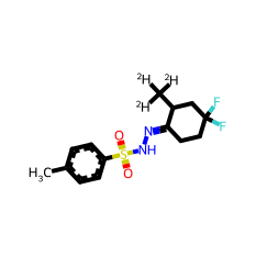 [2H]C([2H])([2H])C1CC(F)(F)CCC1=NNS(=O)(=O)c1ccc(C)cc1